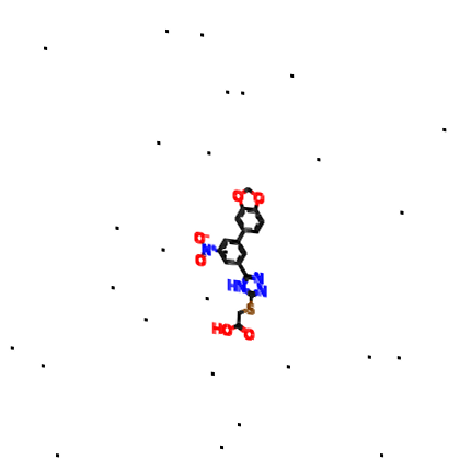 O=C(O)CSc1nnc(-c2cc(-c3ccc4c(c3)OCO4)cc([N+](=O)[O-])c2)[nH]1